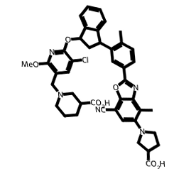 COc1nc(OC2CC(c3cc(-c4nc5c(C)c(N6CCC(C(=O)O)C6)cc(C#N)c5o4)ccc3C)c3ccccc32)c(Cl)cc1CN1CCCC(C(=O)O)C1